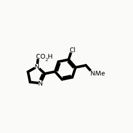 CNCc1ccc(C2=NCCN2C(=O)O)cc1Cl